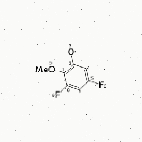 COc1c([O])cc(F)cc1F